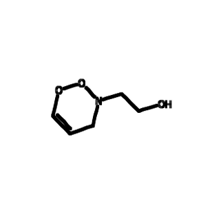 OCCN1CC=COO1